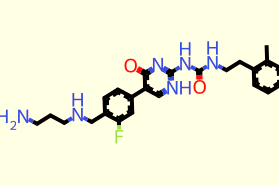 Cc1ccccc1CCNC(=O)Nc1nc(=O)c(-c2ccc(CNCCCN)c(F)c2)c[nH]1